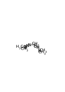 CC(C)c1ccc(N2CCN(CCC(C)c3ccc4c(n3)CCN(CCN(C)C)C4)CC2)nn1